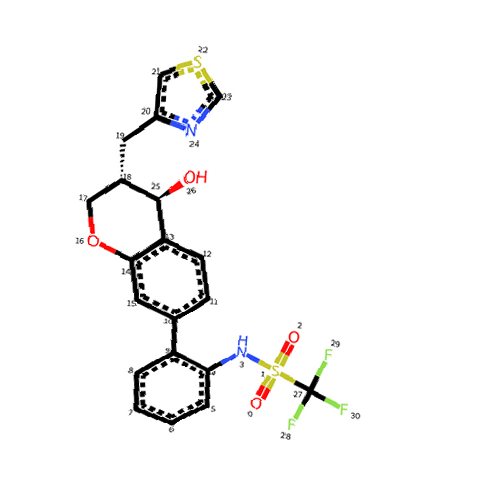 O=S(=O)(Nc1ccccc1-c1ccc2c(c1)OC[C@H](Cc1cscn1)[C@H]2O)C(F)(F)F